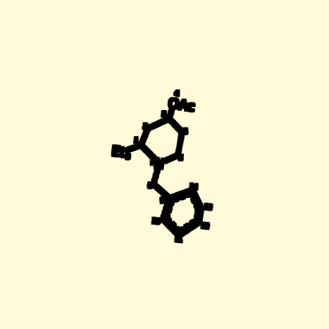 CCC1CC(OC(C)=O)CCN1Cc1ccccc1